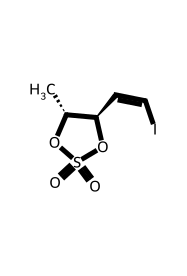 C[C@H]1OS(=O)(=O)O[C@@H]1/C=C\I